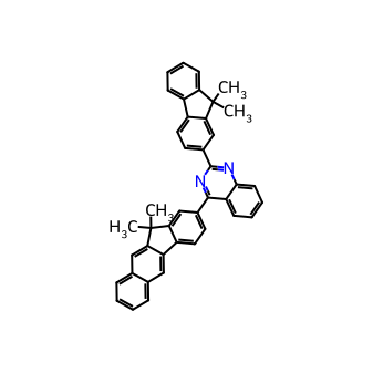 CC1(C)c2ccccc2-c2ccc(-c3nc(-c4ccc5c(c4)C(C)(C)c4cc6ccccc6cc4-5)c4ccccc4n3)cc21